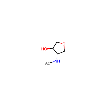 CC(=O)N[C@H]1COC[C@@H]1O